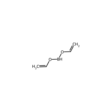 C=COBOC=C